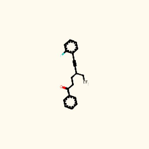 O=C(CCC(C#Cc1ccccc1F)CC(F)(F)F)c1ccccc1